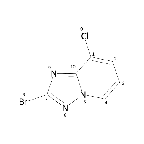 Clc1cccn2nc(Br)nc12